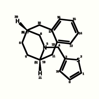 c1csc(CN2C[C@@H]3CC[C@H]2Cc2ccccc2C3)c1